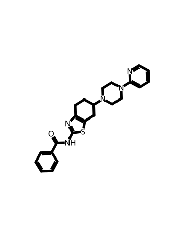 O=C(Nc1nc2c(s1)CC(N1CCN(c3ccccn3)CC1)CC2)c1ccccc1